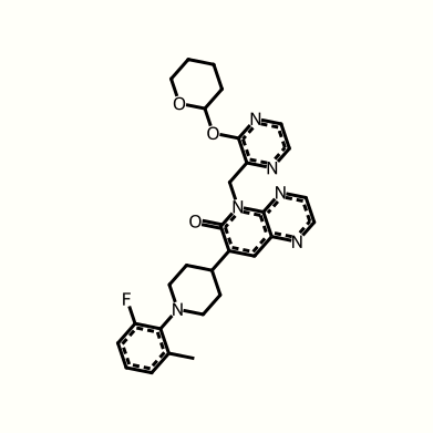 Cc1cccc(F)c1N1CCC(c2cc3nccnc3n(Cc3nccnc3OC3CCCCO3)c2=O)CC1